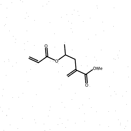 C=CC(=O)OC(C)CC(=C)C(=O)OC